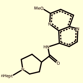 CCCCCCCN1CCC(C(=O)Nc2ccnc3ccc(OC)nc23)CC1